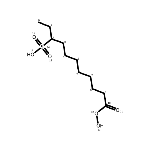 CCC(CCCCCCCC(=O)OO)S(=O)(=O)O